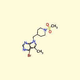 Cc1cn(CC2CCN(S(C)(=O)=O)CC2)c2ncnc(Br)c12